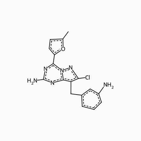 Cc1ccc(-c2nc(N)nc3c(Cc4cccc(N)c4)c(Cl)nn23)o1